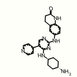 N[C@H]1CC[C@H](Nc2nc(Nc3ccc4c(c3)CCC(=O)N4)ncc2-c2ccncc2)CC1